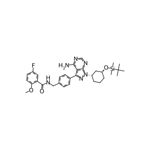 COc1ccc(F)cc1C(=O)NCc1ccc(-c2nn([C@H]3CCC[C@H](O[Si](C)(C)C(C)(C)C)C3)c3ncnc(N)c23)cc1